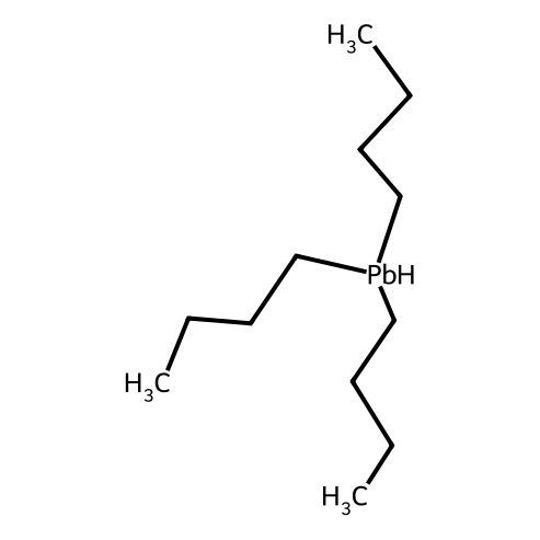 CCC[CH2][PbH]([CH2]CCC)[CH2]CCC